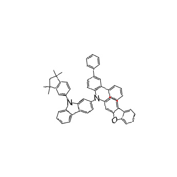 CC1(C)CC(C)(C)c2cc(-n3c4ccccc4c4ccc(N(c5ccc6c(c5)oc5ccccc56)c5ccc(-c6ccccc6)cc5-c5ccccc5)cc43)ccc21